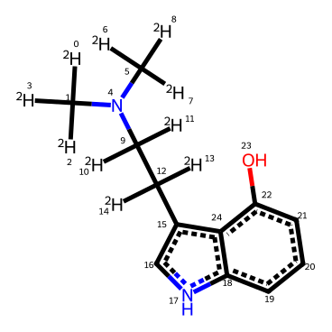 [2H]C([2H])([2H])N(C([2H])([2H])[2H])C([2H])([2H])C([2H])([2H])c1c[nH]c2cccc(O)c12